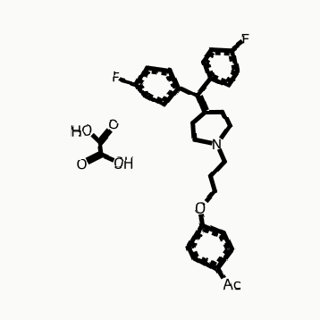 CC(=O)c1ccc(OCCCN2CCC(=C(c3ccc(F)cc3)c3ccc(F)cc3)CC2)cc1.O=C(O)C(=O)O